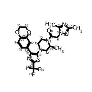 Cc1nc(C)n(CC(=O)N2CCN(c3sc(C(F)(F)F)nc3-c3ccc4c(c3)OCCO4)CC2C)n1